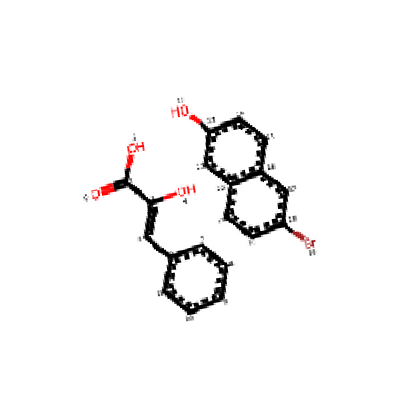 O=C(O)C(O)=Cc1ccccc1.Oc1ccc2cc(Br)ccc2c1